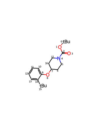 CC(C)(C)OC(=O)N1CCC(Oc2ccccc2C(C)(C)C)CC1